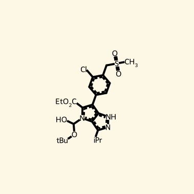 CCOC(=O)c1c(-c2ccc(CS(C)(=O)=O)c(Cl)c2)c2[nH]nc(C(C)C)c2n1C(O)OC(C)(C)C